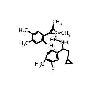 CC1=C(c2cc(C)c(C)cc2C)S1(C)NNC(CC1CC1)c1ccc(C)c(F)c1